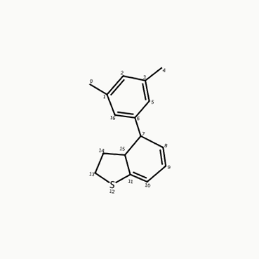 Cc1cc(C)cc(C2C=CC=C3SCCC32)c1